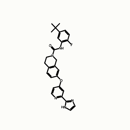 CC(C)(C)c1ccc(F)c(NC(=O)N2CCc3ccc(Oc4ccnc(-c5ncc[nH]5)c4)cc3C2)c1